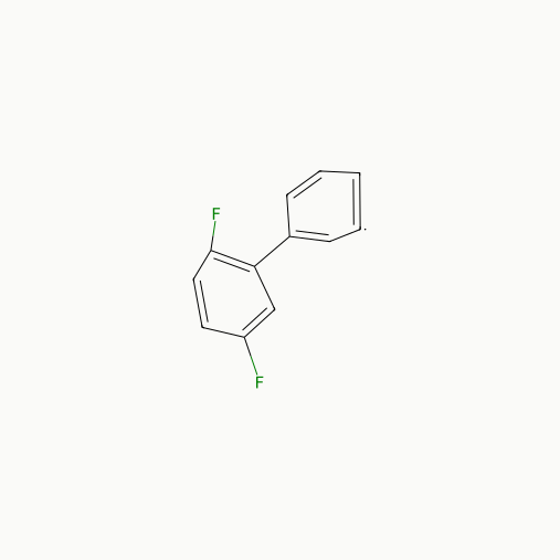 Fc1ccc(F)c(-c2c[c]ccc2)c1